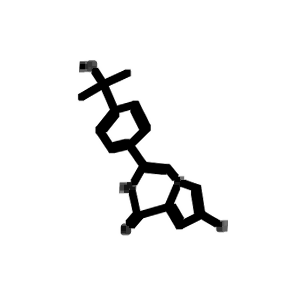 CC(C)(O)c1ccc(-c2cn3cc(Cl)cc3c(=O)[nH]2)cc1